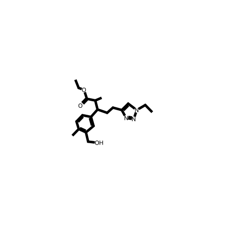 CCOC(=O)C(C)C(CCc1cn(CC)nn1)c1ccc(C)c(CO)c1